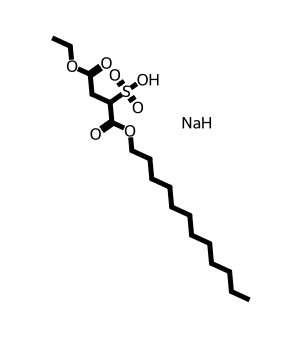 CCCCCCCCCCCCOC(=O)C(CC(=O)OCC)S(=O)(=O)O.[NaH]